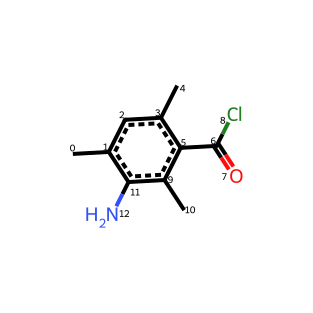 Cc1cc(C)c(C(=O)Cl)c(C)c1N